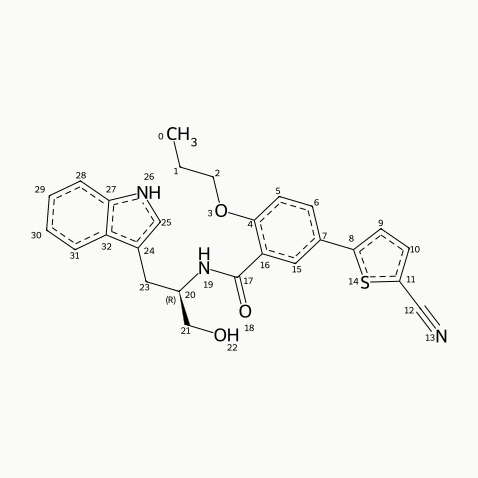 CCCOc1ccc(-c2ccc(C#N)s2)cc1C(=O)N[C@@H](CO)Cc1c[nH]c2ccccc12